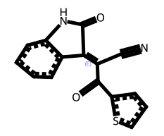 N#C/C(C(=O)c1cccs1)=C1\C(=O)Nc2ccccc21